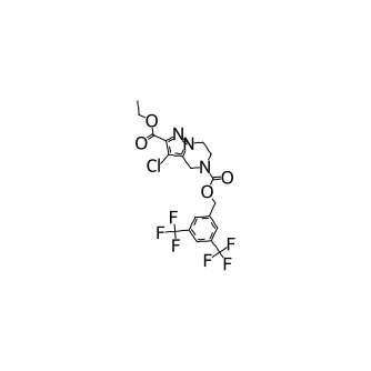 CCOC(=O)c1nn2c(c1Cl)CN(C(=O)OCc1cc(C(F)(F)F)cc(C(F)(F)F)c1)CC2